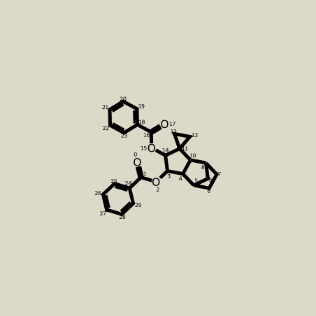 O=C(OC1C2C3CCC(C3)C2C2(CC2)C1OC(=O)c1ccccc1)c1ccccc1